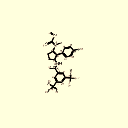 COC(=O)N(C)C1CCC(N[C@H](C)c2cc(C(F)(F)F)cc(C(F)(F)F)c2)C1c1ccc(F)cc1